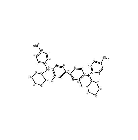 CCCCc1ccc(N(c2ccc(-c3ccc(N(c4ccc(CCCC)cc4)C4CCCCC4)c(C)c3)cc2C)C2CCCCC2)cc1